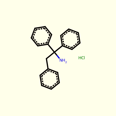 Cl.NC(Cc1ccccc1)(c1ccccc1)c1ccccc1